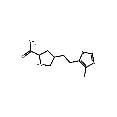 Cc1ncsc1CCC1CNC(C(N)=O)C1